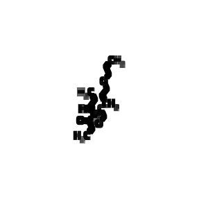 C=CCNC(=O)C=C.C=CCOCC=C.CCOC(=O)CO